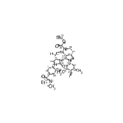 CCS(=O)(=NC)c1ccc(-n2ccn(-c3c4c(nn3-c3cc(C)c(F)c(C)c3)CCN(C(=O)OC(C)(C)C)[C@H]4C)c2=O)c(F)c1